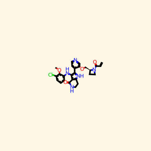 C=CC(=O)N1CC[C@H]1COc1cnccc1-c1[nH]c2c(c1Nc1cccc(Cl)c1OC)C(=O)NCC2